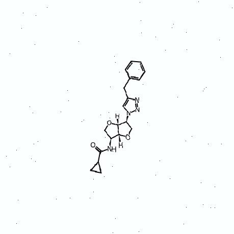 O=C(N[C@H]1CO[C@H]2[C@@H]1OC[C@@H]2n1cc(Cc2ccccc2)nn1)C1CC1